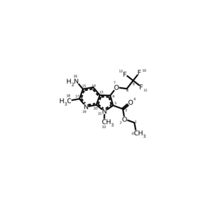 CCOC(=O)c1c(OCC(F)(F)F)c2cc(N)c(C)nc2n1C